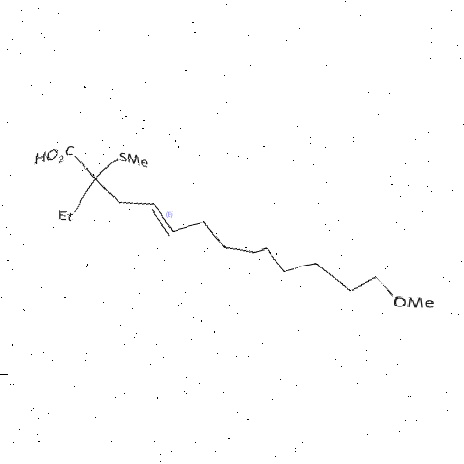 CCC(C/C=C/CCCCCCCOC)(SC)C(=O)O